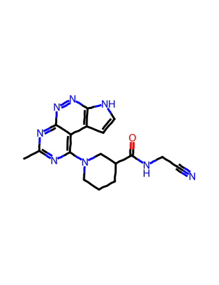 Cc1nc(N2CCCC(C(=O)NCC#N)C2)c2c(nnc3[nH]ccc32)n1